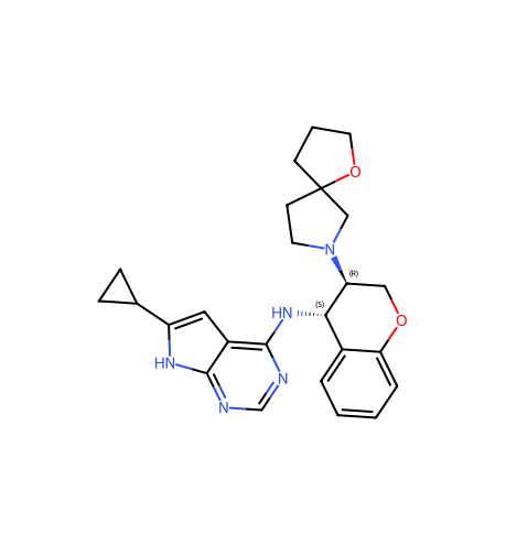 c1ccc2c(c1)OC[C@H](N1CCC3(CCCO3)C1)[C@H]2Nc1ncnc2[nH]c(C3CC3)cc12